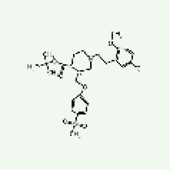 COc1ccc(Cl)cc1CCN1CCN(C(=O)OC(C)(C)C)[C@H](COc2ccc(S(C)(=O)=O)cc2)C1